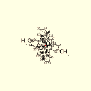 Cc1ccc([O][Zr]([CH2]c2ccccc2)([CH2]c2ccccc2)[O]c2ccc(C)cc2-n2c3ccccc3c3ccccc32)c(-n2c3ccccc3c3ccccc32)c1